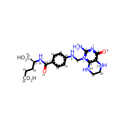 Nc1nc(=O)c2c(n1CNc1ccc(C(=O)N[C@@H](CCC(=O)O)C(=O)O)cc1)NCCN2